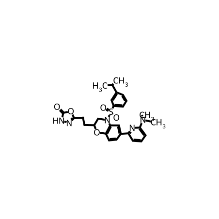 CC(C)c1cccc(S(=O)(=O)N2CC(CCc3n[nH]c(=O)o3)Oc3ccc(-c4cccc(N(C)C)n4)cc32)c1